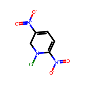 O=[N+]([O-])C1=CC=C([N+](=O)[O-])N(Cl)C1